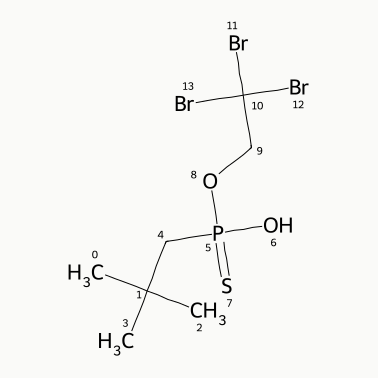 CC(C)(C)CP(O)(=S)OCC(Br)(Br)Br